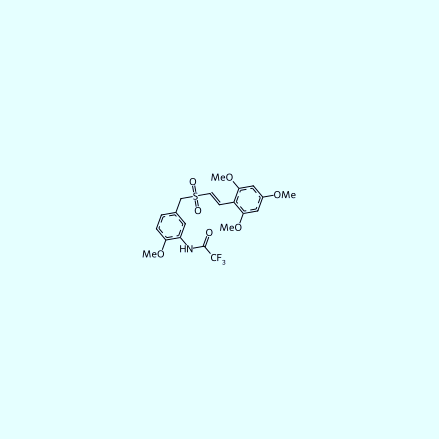 COc1cc(OC)c(C=CS(=O)(=O)Cc2ccc(OC)c(NC(=O)C(F)(F)F)c2)c(OC)c1